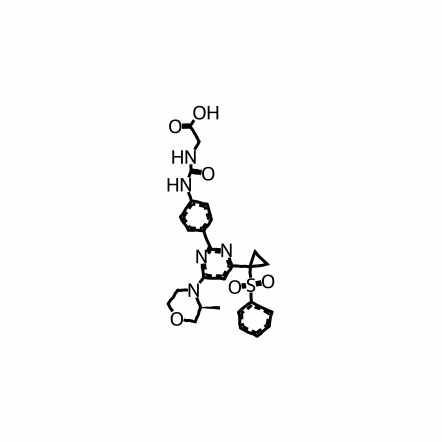 C[C@H]1COCCN1c1cc(C2(S(=O)(=O)c3ccccc3)CC2)nc(-c2ccc(NC(=O)NCC(=O)O)cc2)n1